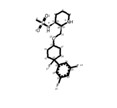 CS(=O)(=O)N[C@H]1CCCN[C@H]1COC1CCC(F)(c2cc(F)cc(F)c2)CC1